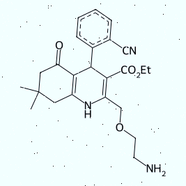 CCOC(=O)C1=C(COCCN)NC2=C(C(=O)CC(C)(C)C2)C1c1ccccc1C#N